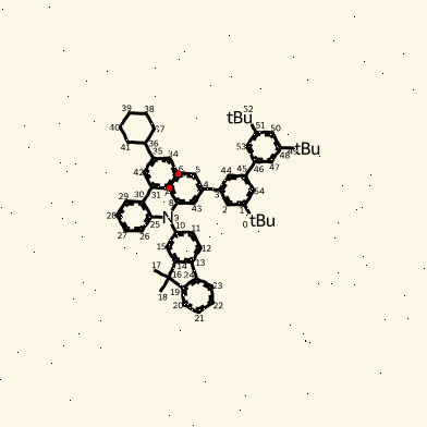 CC(C)(C)c1cc(-c2cccc(N(c3ccc4c(c3)C(C)(C)c3ccccc3-4)c3ccccc3-c3cccc(C4CCCCC4)c3)c2)cc(-c2cc(C(C)(C)C)cc(C(C)(C)C)c2)c1